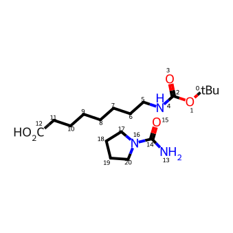 CC(C)(C)OC(=O)NCCCCCCCC(=O)O.NC(=O)N1CCCC1